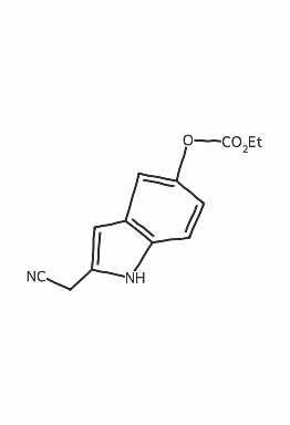 CCOC(=O)Oc1ccc2[nH]c(CC#N)cc2c1